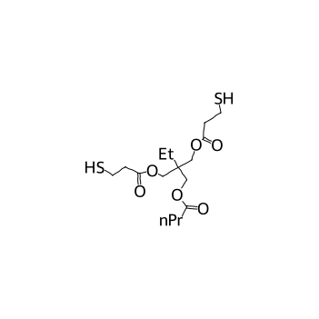 CCCC(=O)OCC(CC)(COC(=O)CCS)COC(=O)CCS